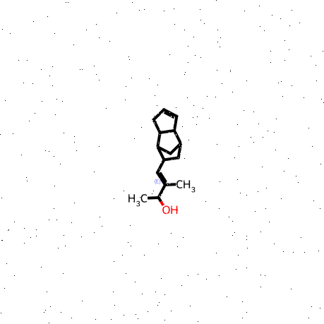 C/C(=C\C1CC2CC1C1CC=CC21)C(C)O